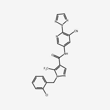 N#Cc1cc(NC(=O)c2cnn(Cc3ccccc3Cl)c2C(F)(F)F)cnc1-n1nccn1